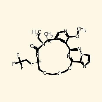 CCN1C(=O)N[C@@H](CCC(F)(F)F)CCCCCOc2nc(nn3ccnc23)-c2cc(cnc2OC)[C@H]1C